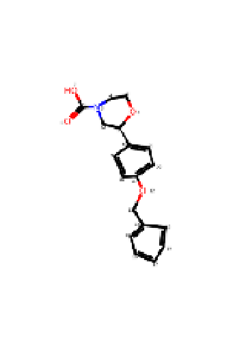 O=C(O)N1CCO[C@@H](c2ccc(OCc3ccccc3)cc2)C1